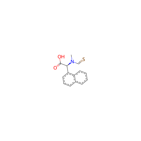 CN(C=S)[C@H](C(=O)O)c1cccc2ccccc12